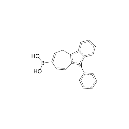 OB(O)C1=CCc2c(n(-c3ccccc3)c3ccccc23)C=C1